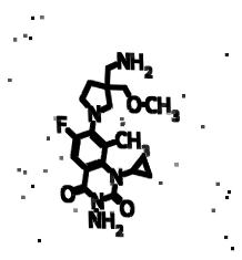 COCC1(CN)CCN(c2c(F)cc3c(=O)n(N)c(=O)n(C4CC4)c3c2C)C1